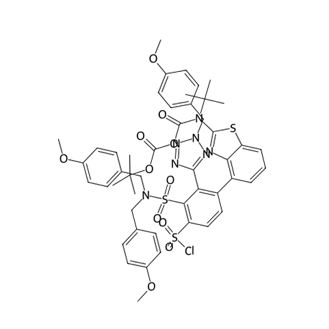 COc1ccc(CN(Cc2ccc(OC)cc2)S(=O)(=O)c2c(S(=O)(=O)Cl)ccc(-c3cccc4sc(N(C(=O)OC(=O)OC(C)(C)C)C(C)(C)C)nc34)c2-c2nnn(Cc3ccc(OC)cc3)n2)cc1